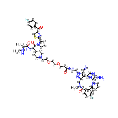 CN[C@H](C)C(=O)N[C@@H](C(=O)N1CCC[C@@H]1C1=NC(C(=O)c2ccc(F)cc2)CS1)C1CCN(CCOCCOCCC(=O)NCCn2nc3c(c2C#N)-c2cnc(N)c(n2)N2CCC[C@@H]2C2C=C(F)C=CC2C(=O)N(C)C3)CC1